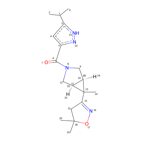 CC(C)c1cc(C(=O)N2C[C@@H]3[C@H](C2)C3(C)C2=NOC(C)(C)C2)n[nH]1